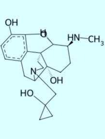 CN[C@H]1CC[C@@]2(O)C3Cc4ccc(O)c5c4[C@@]2(CCN3CC2(O)CC2)[C@H]1O5